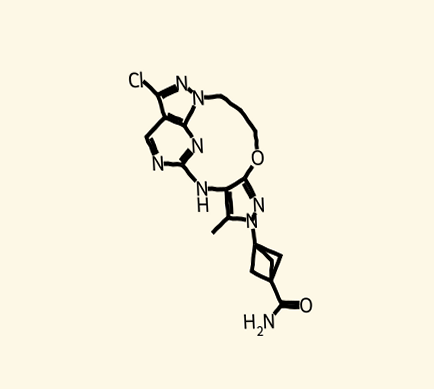 Cc1c2c(nn1C13CC(C(N)=O)(C1)C3)OCCCn1nc(Cl)c3cnc(nc31)N2